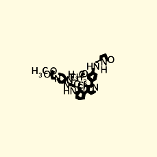 COC(=O)CN1CCc2c(nc(C(=O)Nc3cccc(-c4ccnc(-c5ccc(CNC[C@H]6CCC(=O)N6)c(OC)c5)c4Cl)c3Cl)n2C)C1